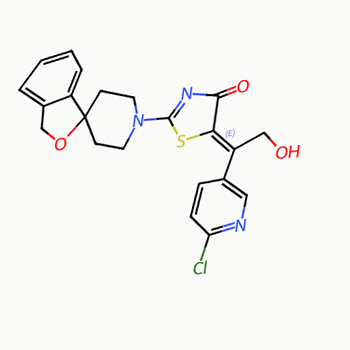 O=C1N=C(N2CCC3(CC2)OCc2ccccc23)S/C1=C(/CO)c1ccc(Cl)nc1